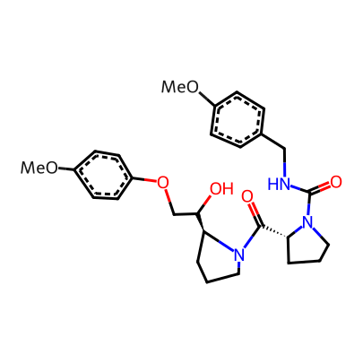 COc1ccc(CNC(=O)N2CCC[C@@H]2C(=O)N2CCC[C@H]2C(O)COc2ccc(OC)cc2)cc1